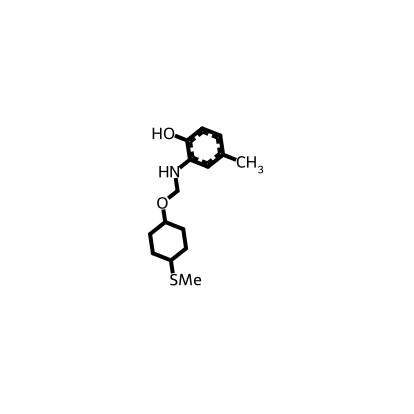 CSC1CCC(OCNc2cc(C)ccc2O)CC1